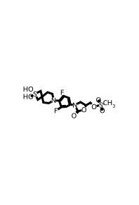 CS(=O)(=O)OCC1CN(c2cc(F)c(N3CCC4(CC3)CS(O)(O)C4)c(F)c2)C(=O)O1